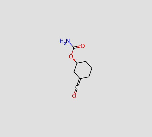 NC(=O)O[C@H]1CCCC(=C=O)C1